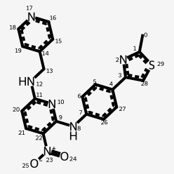 Cc1nc(-c2ccc(Nc3nc(NCc4ccncc4)ccc3[N+](=O)[O-])cc2)cs1